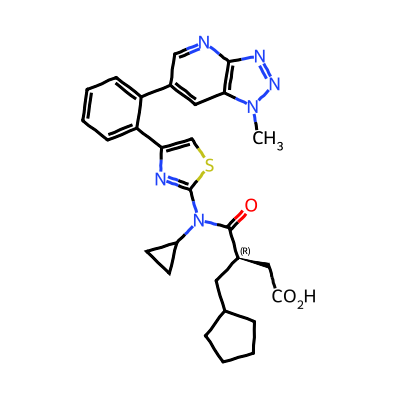 Cn1nnc2ncc(-c3ccccc3-c3csc(N(C(=O)[C@@H](CC(=O)O)CC4CCCC4)C4CC4)n3)cc21